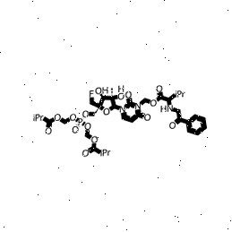 CC(C)C(=O)OCOP(=O)(OCOC(=O)C(C)C)OC[C@@]1(CF)OC(n2ccc(=O)n(COC(=O)C(NCC(=O)c3ccccc3)C(C)C)c2=O)[C@](C)(O)[C@@H]1O